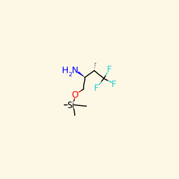 C[C@@H]([C@H](N)CO[Si](C)(C)C)C(F)(F)F